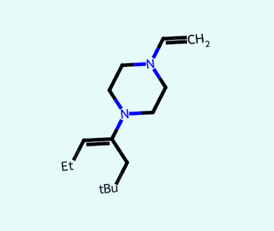 C=CN1CCN(/C(=C/CC)CC(C)(C)C)CC1